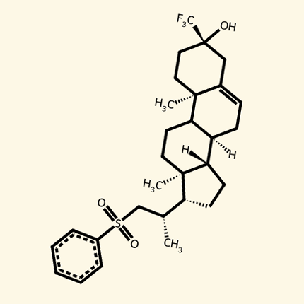 C[C@H](CS(=O)(=O)c1ccccc1)[C@H]1CC[C@H]2[C@@H]3CC=C4C[C@](O)(C(F)(F)F)CC[C@]4(C)C3CC[C@]12C